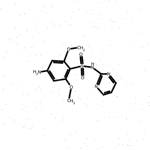 COc1cc(N)cc(OC)c1S(=O)(=O)Nc1ncccn1